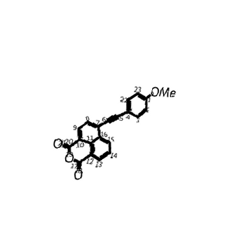 COc1ccc(C#Cc2ccc3c4c(cccc24)C(=O)OC3=O)cc1